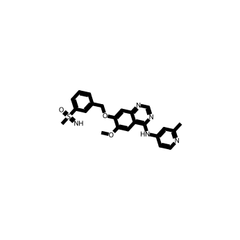 COc1cc2c(Nc3ccnc(C)c3)ncnc2cc1OCc1cccc(S(C)(=N)=O)c1